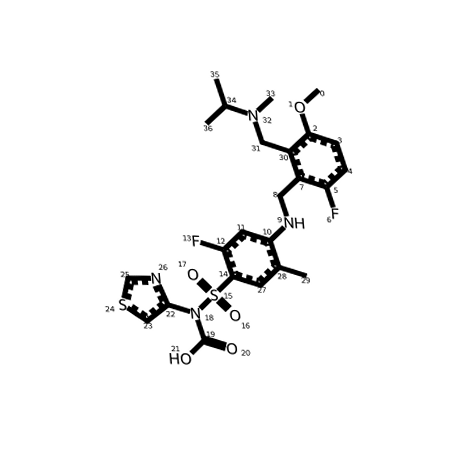 COc1ccc(F)c(CNc2cc(F)c(S(=O)(=O)N(C(=O)O)c3cscn3)cc2C)c1CN(C)C(C)C